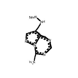 CNNc1cnn2c(N)ncnc12